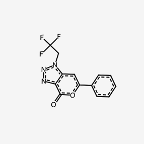 O=c1oc(-c2ccccc2)cc2c1nnn2CC(F)(F)F